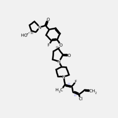 C=C/C(Cl)=C\C(F)=C(/C)N1CCC(N2CC[C@H](OC3=C(F)CC(C(=O)N4CC[C@@H](O)C4)C=C3)C2=O)CC1